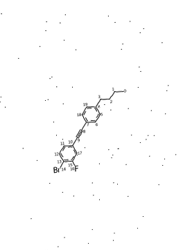 CCCCc1ccc(C#Cc2ccc(Br)c(F)c2)cc1